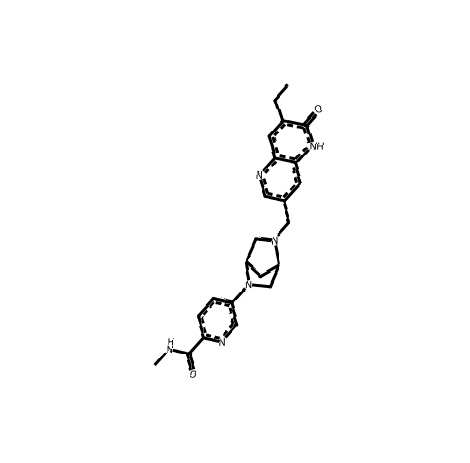 CCc1cc2ncc(CN3CC4CC3CN4c3ccc(C(=O)NC)nc3)cc2[nH]c1=O